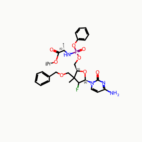 CC(C)OC(=O)[C@H](C)NP(=O)(OC[C@H]1O[C@@H](n2ccc(N)nc2=O)C(F)C1(C)COCc1ccccc1)Oc1ccccc1